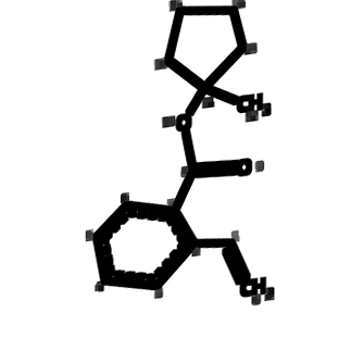 C=Cc1ccccc1C(=O)OC1(C)CCCC1